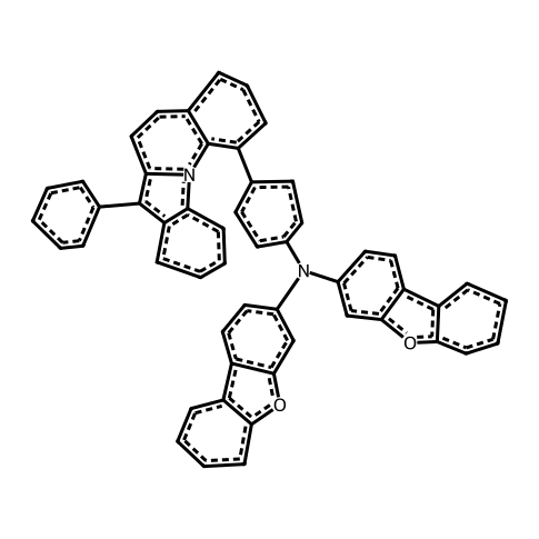 c1ccc(-c2c3ccccc3n3c2ccc2cccc(-c4ccc(N(c5ccc6c(c5)oc5ccccc56)c5ccc6c(c5)oc5ccccc56)cc4)c23)cc1